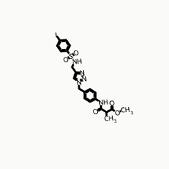 COC(=O)C(C)C(=O)Nc1ccc(Cn2cc(CNS(=O)(=O)c3ccc(I)cc3)nn2)cc1